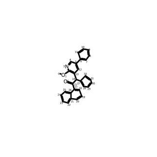 COc1ncc(-c2ccccc2)cc1C(C(=O)c1cccc2ccccc12)c1ccccc1